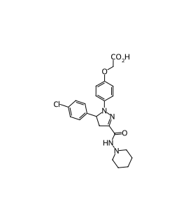 O=C(O)COc1ccc(N2N=C(C(=O)NN3CCCCC3)CC2c2ccc(Cl)cc2)cc1